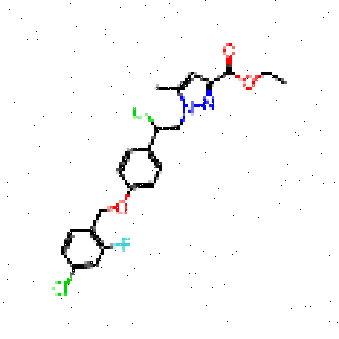 CCOC(=O)c1cc(C)n(CC(Cl)c2ccc(OCc3ccc(Cl)cc3F)cc2)n1